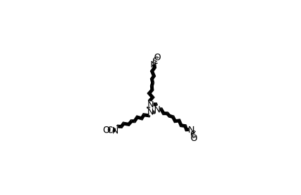 O=C=NCCCCCCCCCCN1CN(CCCCCCCCCCN=C=O)CN(CCCCCCCCCCN=C=O)C1